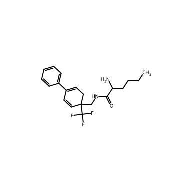 CCCCC(N)C(=O)NCC1(C(F)(F)F)C=CC(c2ccccc2)=CC1